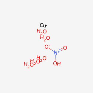 O.O.O.O.O.O=[N+]([O-])O.[Cu]